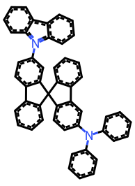 c1ccc(N(c2ccccc2)c2ccc3c(c2)-c2ccccc2C32c3ccccc3-c3ccc(-n4c5ccccc5c5ccccc54)cc32)cc1